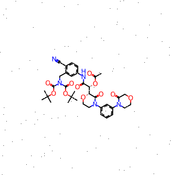 CC(=O)O[C@@H](C(=O)Nc1ccc(C#N)c(CN(C(=O)OC(C)(C)C)C(=O)OC(C)(C)C)c1)[C@H]1OCCN(c2cccc(N3CCOCC3=O)c2)C1=O